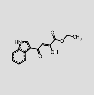 CCOC(=O)C(O)=CC(=O)c1c[nH]c2ccccc12